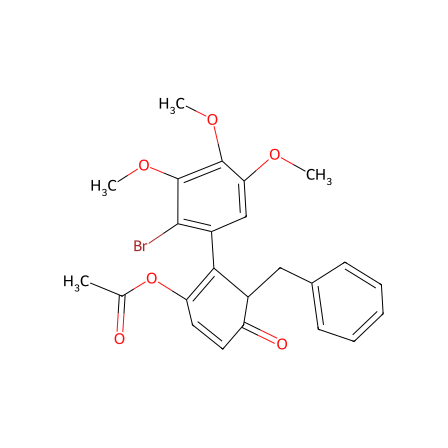 COc1cc(C2=C(OC(C)=O)C=CC(=O)C2Cc2ccccc2)c(Br)c(OC)c1OC